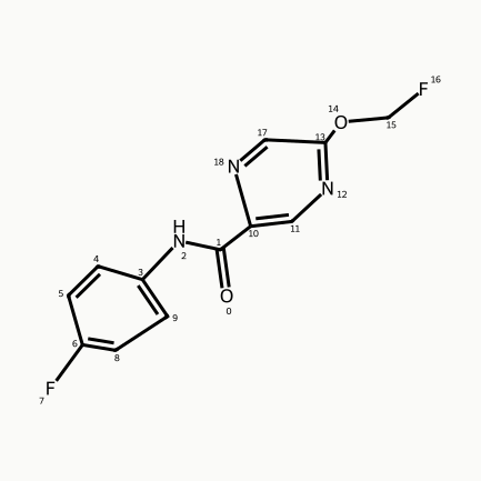 O=C(Nc1ccc(F)cc1)c1cnc(OCF)cn1